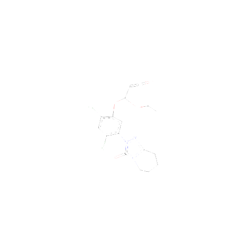 CCOC(C=C=O)Oc1cc(-n2nc3n(c2=O)CCCC3)c(Cl)cc1Cl